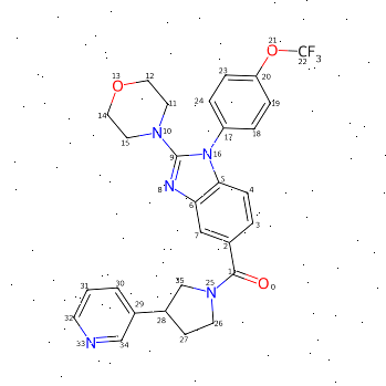 O=C(c1ccc2c(c1)nc(N1CCOCC1)n2-c1ccc(OC(F)(F)F)cc1)N1CCC(c2cccnc2)C1